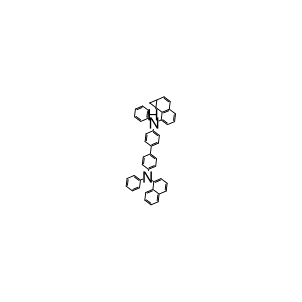 C1=CC2C[C@H]2c2c1cccc2N(c1ccccc1)c1ccc(-c2ccc(N(c3ccccc3)c3cccc4ccccc34)cc2)cc1